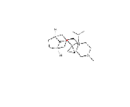 CC(C)CC1(CN2[C@@H]3CC[C@H]2C[C@@H](CN2CCN(C)CC2)C3)CC1